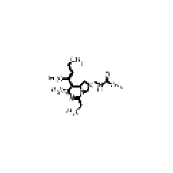 CCCC(C)C1=C2C[C@H](CNC(C)=O)CN2C(CC)=N[C@H]1C